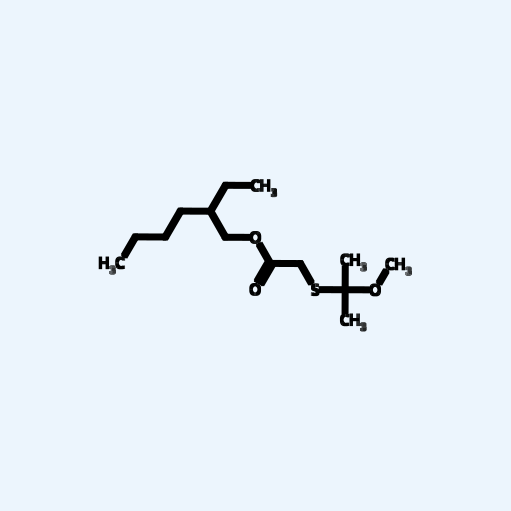 CCCCC(CC)COC(=O)CSC(C)(C)OC